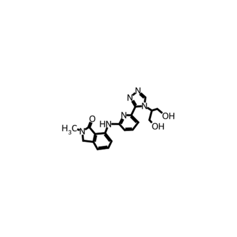 CN1Cc2cccc(Nc3cccc(-c4nncn4C(CO)CO)n3)c2C1=O